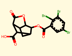 O=C(OC1C2CC3C1OC(=O)C3C2C(=O)O)c1cc(Br)cc(Br)c1Br